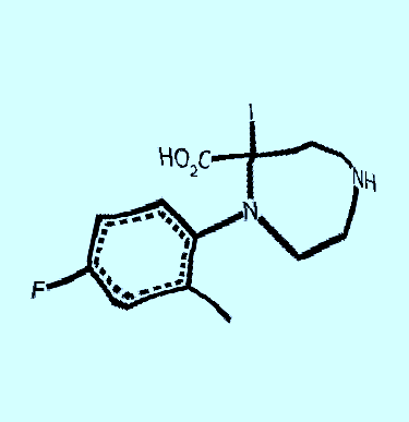 Cc1cc(F)ccc1N1CCNCC1(I)C(=O)O